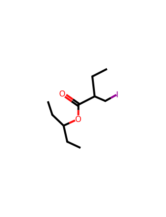 CCC(CC)OC(=O)C(CC)CI